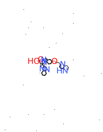 O=C(O)C[C@H](c1cnc2ccccc2n1)n1ncc2cc(OCCc3ccc4c(n3)CCCN4)ccc21